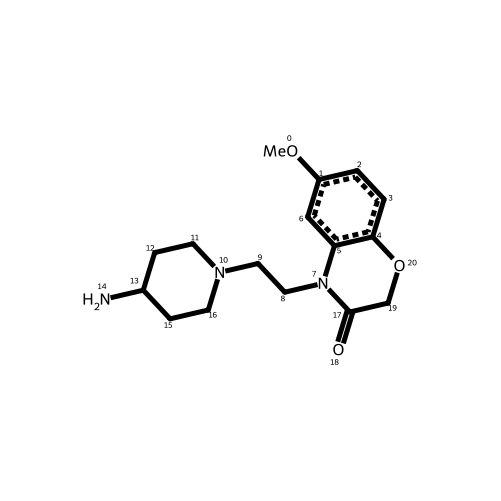 COc1ccc2c(c1)N(CCN1CCC(N)CC1)C(=O)CO2